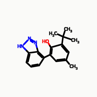 Cc1cc(-c2cccc3[nH]nnc23)c(O)c(C(C)(C)C)c1